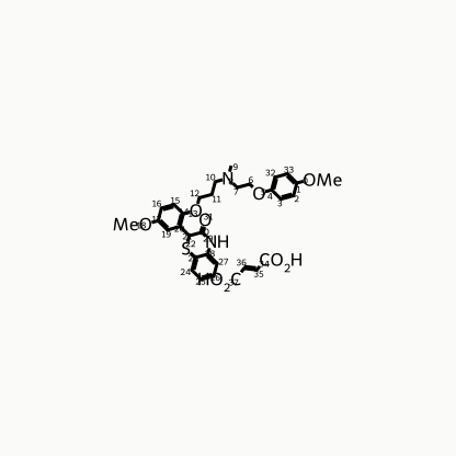 COc1ccc(OCCN(C)CCCOc2ccc(OC)cc2C2Sc3ccccc3NC2=O)cc1.O=C(O)/C=C/C(=O)O